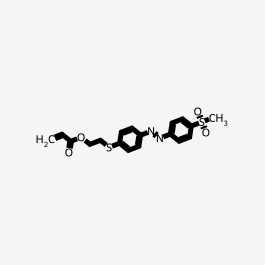 C=CC(=O)OCCSc1ccc(N=Nc2ccc(S(C)(=O)=O)cc2)cc1